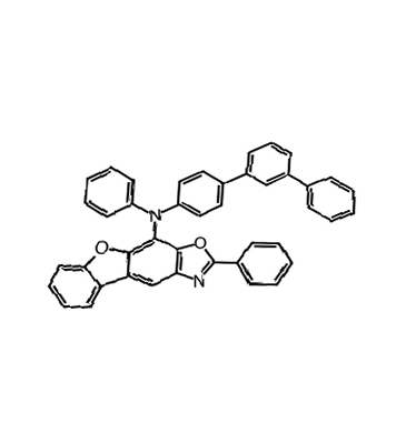 c1ccc(-c2cccc(-c3ccc(N(c4ccccc4)c4c5oc(-c6ccccc6)nc5cc5c4oc4ccccc45)cc3)c2)cc1